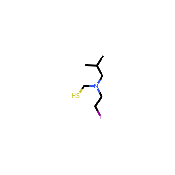 CC(C)CN(CS)CCI